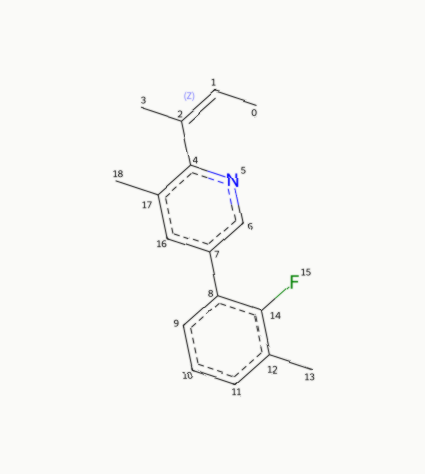 C/C=C(/C)c1ncc(-c2cccc(C)c2F)cc1C